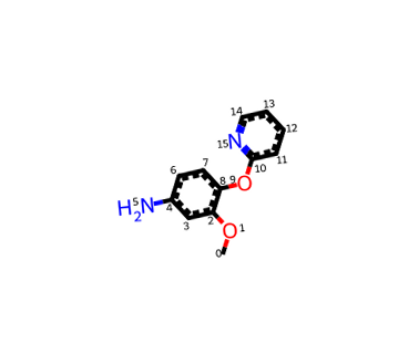 COc1cc(N)ccc1Oc1ccccn1